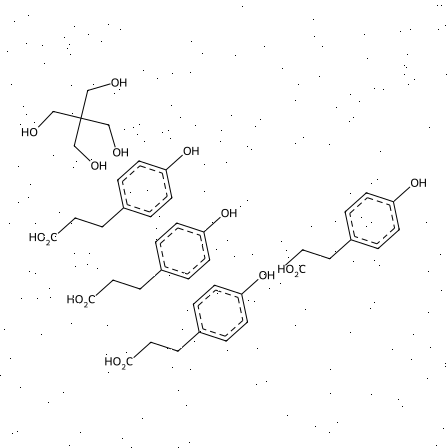 O=C(O)CCc1ccc(O)cc1.O=C(O)CCc1ccc(O)cc1.O=C(O)CCc1ccc(O)cc1.O=C(O)CCc1ccc(O)cc1.OCC(CO)(CO)CO